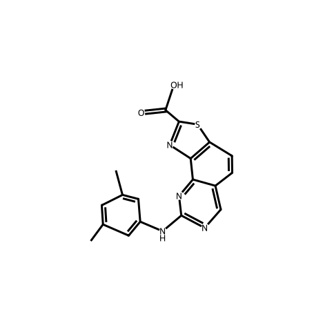 Cc1cc(C)cc(Nc2ncc3ccc4sc(C(=O)O)nc4c3n2)c1